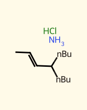 CC=CC(CCCC)CCCC.Cl.N